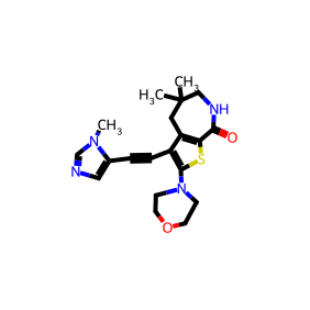 Cn1cncc1C#Cc1c(N2CCOCC2)sc2c1CC(C)(C)CNC2=O